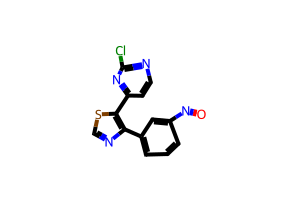 O=Nc1cccc(-c2ncsc2-c2ccnc(Cl)n2)c1